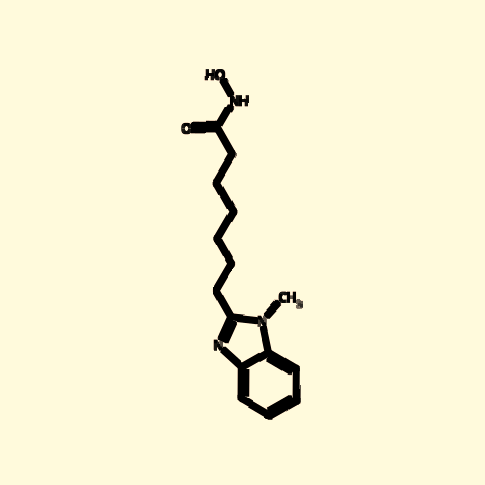 Cn1c(CCCCCCC(=O)NO)nc2ccccc21